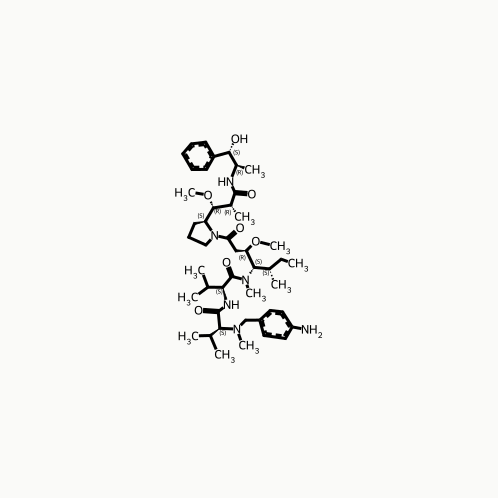 CC[C@H](C)[C@@H]([C@@H](CC(=O)N1CCC[C@H]1[C@H](OC)[C@@H](C)C(=O)N[C@H](C)[C@@H](O)c1ccccc1)OC)N(C)C(=O)[C@@H](NC(=O)[C@H](C(C)C)N(C)Cc1ccc(N)cc1)C(C)C